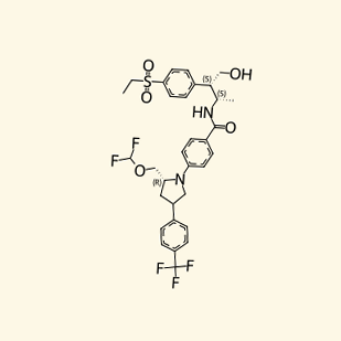 CCS(=O)(=O)c1ccc([C@H](CO)[C@H](C)NC(=O)c2ccc(N3CC(c4ccc(C(F)(F)F)cc4)C[C@@H]3COC(F)F)cc2)cc1